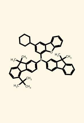 CC(C)(C)c1cccc2c1-c1ccc(N(c3ccc4c(c3)C(C)(C)c3ccccc3-4)c3cc(C4CCCCC4)cc4c3oc3ccccc34)cc1C2(C)C